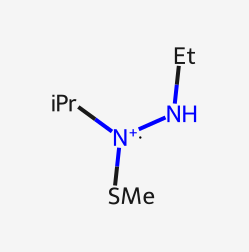 CCN[N+](SC)C(C)C